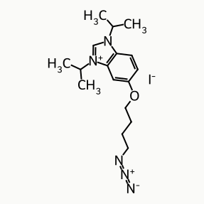 CC(C)n1c[n+](C(C)C)c2cc(OCCCCN=[N+]=[N-])ccc21.[I-]